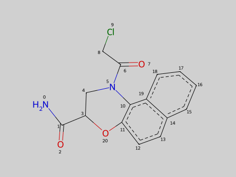 NC(=O)C1CN(C(=O)CCl)c2c(ccc3ccccc23)O1